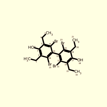 CCc1c(O)c(CC)c(Br)c(-c2c(Br)c(CC)c(O)c(CC)c2Br)c1Br